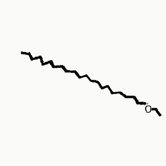 CCCCCCCCCCCCCCCCCCCCC[CH]OCC